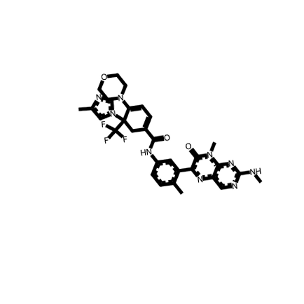 CNc1ncc2nc(-c3cc(NC(=O)C4=CC=C(N5CCOCC5)C(n5cnc(C)c5)(C(F)(F)F)C4)ccc3C)c(=O)n(C)c2n1